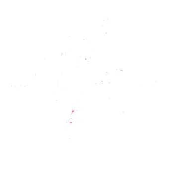 Cc1cc(C)c(N2c3cc4c(cc3B3c5cc6c(cc5N(c5c(C)cc(C)cc5C)c5cc(C(C)(C)C)cc2c53)Oc2cc(C(C)(C)C)cc3c2B6c2ccccc2O3)B2c3ccccc3Oc3cc(C(C)(C)C)cc(c32)N4)c(C)c1